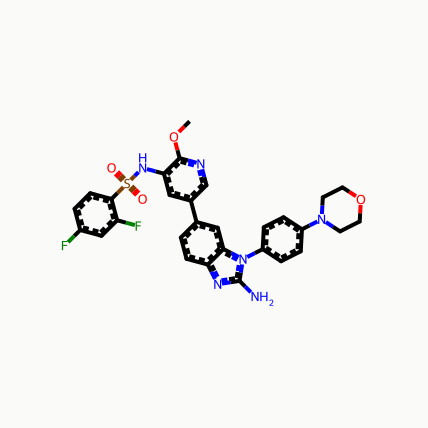 COc1ncc(-c2ccc3nc(N)n(-c4ccc(N5CCOCC5)cc4)c3c2)cc1NS(=O)(=O)c1ccc(F)cc1F